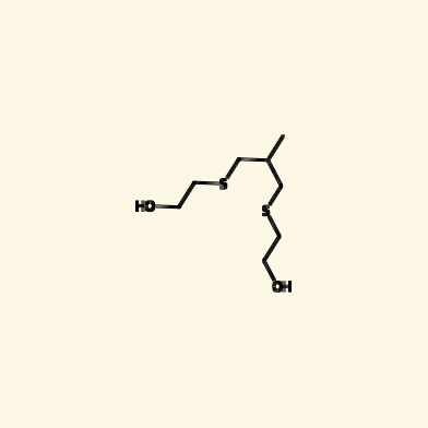 CC(CSCCO)CSCCO